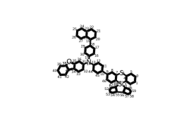 c1ccc2c(c1)Sc1cc(-c3ccc(N(c4ccc(-c5cccc6ccccc56)cc4)c4ccc5c(c4)oc4ccccc45)cc3)ccc1[Si]21c2ccccc2-c2ccccc21